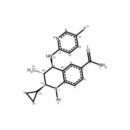 CC(=O)N1c2ccc(C(N)=O)cc2[C@H](Nc2ccc(F)cn2)[C@@H](C)[C@@H]1C1CC1